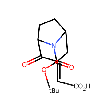 CC(C)(C)OC(=O)N1C2CCC1C(=O)C(=CC(=O)O)C2